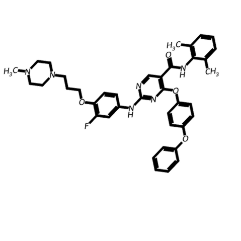 Cc1cccc(C)c1NC(=O)c1cnc(Nc2ccc(OCCCN3CCN(C)CC3)c(F)c2)nc1Oc1ccc(Oc2ccccc2)cc1